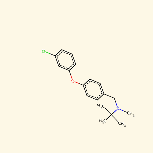 CN(Cc1ccc(Oc2cccc(Cl)c2)cc1)C(C)(C)C